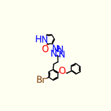 O=c1[nH]cccc1-n1nnc(CCc2cc(Br)ccc2OCc2ccccc2)n1